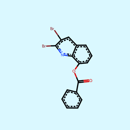 O=C(Oc1cccc2cc(Br)c(Br)nc12)c1ccccc1